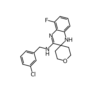 Fc1cccc2c1N=C(NCc1cccc(Cl)c1)C1(CCOCC1)N2